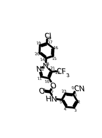 N#Cc1cccc(NC(=O)Oc2cnn(-c3ccc(Cl)cc3)c2C(F)(F)F)c1